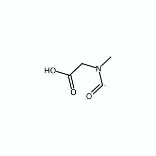 CN([C]=O)CC(=O)O